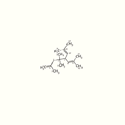 C=C(C)CC(C)(C)C(C=C(C)C)C=C(C)C